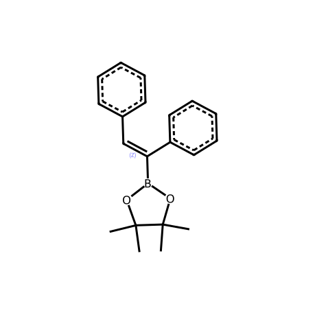 CC1(C)OB(/C(=C/c2ccccc2)c2ccccc2)OC1(C)C